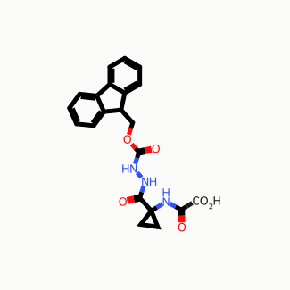 O=C(NNC(=O)C1(NC(=O)C(=O)O)CC1)OCC1c2ccccc2-c2ccccc21